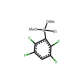 CC[Si](OC)(OC)c1c(F)c(F)[c]c(F)c1F